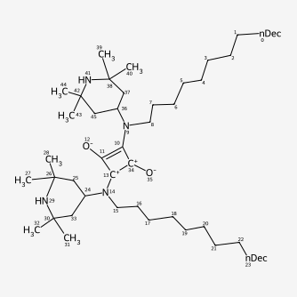 CCCCCCCCCCCCCCCCCCN(c1c([O-])[c+](N(CCCCCCCCCCCCCCCCCC)C2CC(C)(C)NC(C)(C)C2)[c+]1[O-])C1CC(C)(C)NC(C)(C)C1